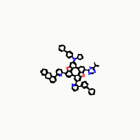 CC(C)c1ncnc(-c2ccc3c4cc(N(c5ccc(-c6ccccc6)cc5)C5CCCC5)cc5oc6c(-c7cccc(-c8cccc9cc%10ccccc%10cc89)n7)ccc(c7cc(-c8ncccc8-c8cccc(-c9ccccc9)c8)cc8oc2c3c87)c6c54)n1